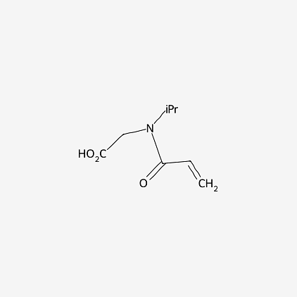 C=CC(=O)N(CC(=O)O)C(C)C